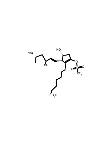 CCCC[C@@H](C)C[C@H](O)C=C[C@@H]1C(SCCCCCC(=O)O)=C(OS(=O)(=O)C(F)(F)F)C[C@H]1O